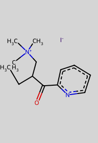 CCC(C[N+](C)(C)C)C(=O)c1ccccn1.[I-]